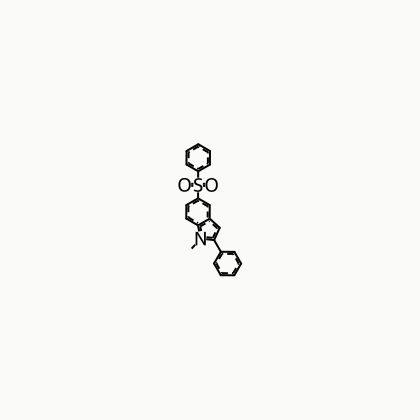 Cn1c(-c2ccccc2)cc2cc(S(=O)(=O)c3ccccc3)ccc21